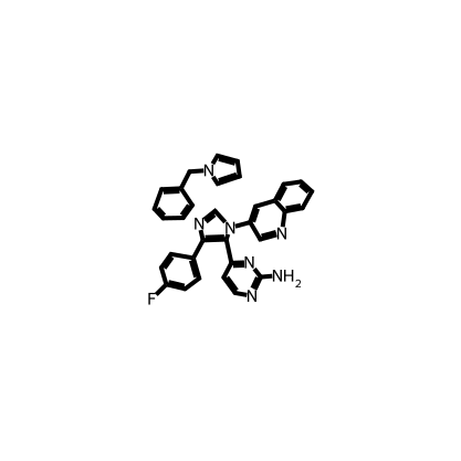 Nc1nccc(-c2c(-c3ccc(F)cc3)ncn2-c2cnc3ccccc3c2)n1.c1ccc(Cn2cccc2)cc1